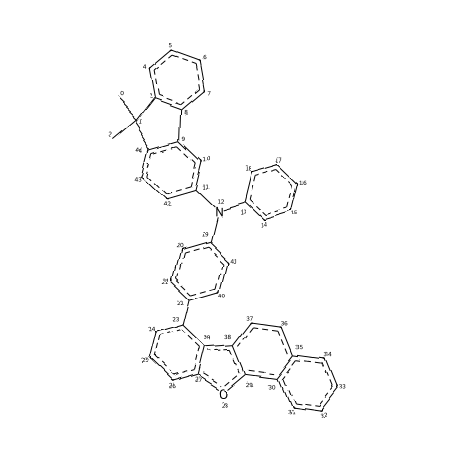 CC1(C)c2ccccc2-c2cc(N(c3ccccc3)c3ccc(-c4cccc5oc6c7ccccc7ccc6c45)cc3)ccc21